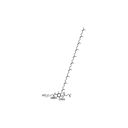 C=C(C)CCC(=O)Oc1c(C/C=C(\C)CC/C=C(\C)CC/C=C(\C)CC/C=C(\C)CC/C=C(\C)CC/C=C(\C)CC/C=C(\C)CC/C=C(\C)CC/C=C(\C)CCC=C(C)C)c(C)c(OC(=O)CCC(=O)O)c(OC)c1OC